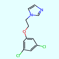 Clc1cc(Cl)cc(OCCn2ccnc2)c1